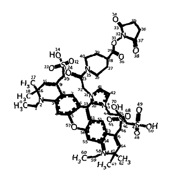 CCN1c2cc3c(cc2C(CS(=O)(=O)O)=CC1(C)C)C(c1n(CC(=O)N2CCC(C(=O)ON4C(=O)CCC4=O)CC2)cc[n+]1CCCS(=O)(=O)O)=c1cc2c(cc1O3)=[N+](CC)C(C)(C)C=C2CS(=O)(=O)O